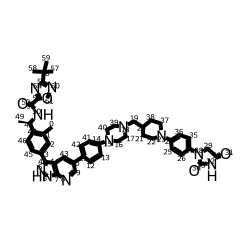 Cc1cc(-c2n[nH]c3ncc(-c4ccc(N5CCN(CC6CCN(c7ccc(N8CC(=O)NC8=O)cc7)CC6)CC5)cc4)cc23)ccc1[C@@H](C)NC(=O)c1nc(C(C)(C)C)no1